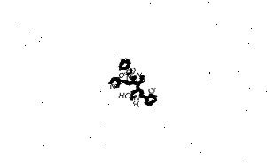 CC1(O)C=C(c2ccnc3c2cc(-c2cccnc2)n3S(=O)(=O)c2ccccc2)C=C(c2ccccc2Cl)N1